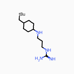 CC(C)(C)CC1CCC(NCCCNC(=N)N)CC1